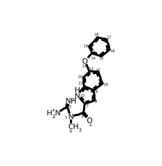 CN(C(=N)N)C(=O)c1cc2ccc(Oc3ccccc3)cc2[nH]1